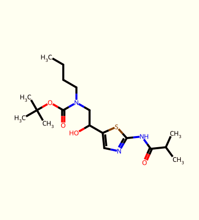 CCCCN(CC(O)c1cnc(NC(=O)C(C)C)s1)C(=O)OC(C)(C)C